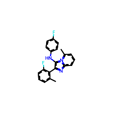 Cc1cccc(F)c1-c1nc2cccc(C)n2c1Nc1ccc(F)cc1